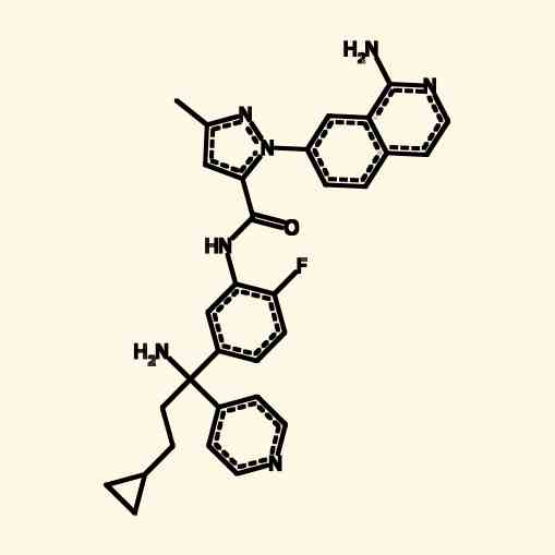 Cc1cc(C(=O)Nc2cc(C(N)(CCC3CC3)c3ccncc3)ccc2F)n(-c2ccc3ccnc(N)c3c2)n1